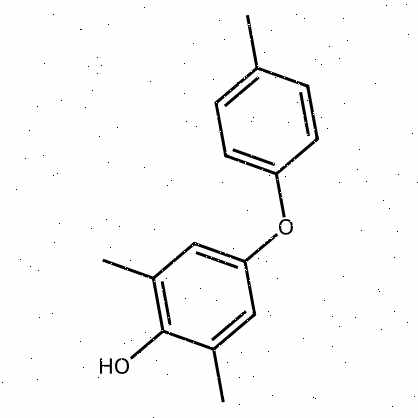 Cc1ccc(Oc2cc(C)c(O)c(C)c2)cc1